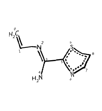 C=C/N=C(\N)c1nccs1